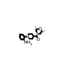 C[C@@H]1CN(C(=O)C2CCN(c3ccccc3N)CC2)C[C@H](C)O1